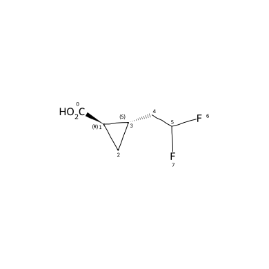 O=C(O)[C@@H]1C[C@H]1CC(F)F